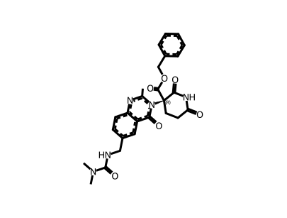 Cc1nc2ccc(CNC(=O)N(C)C)cc2c(=O)n1[C@]1(C(=O)OCc2ccccc2)CCC(=O)NC1=O